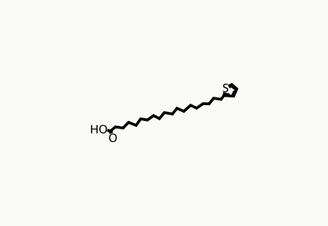 O=C(O)CCCCCCCCCCCCCCCCCCc1cccs1